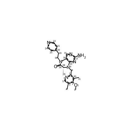 COc1c(C)cnc(CN2c3nc(N)ncc3N(CCc3ccncc3)C(=O)[C@H]2C)c1C